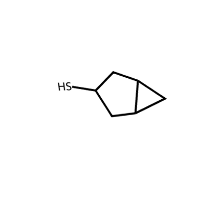 SC1CC2CC2C1